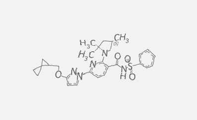 C[C@@H]1CN(c2nc(-n3ccc(OCC4CC45CC5)n3)ccc2C(=O)NS(=O)(=O)c2ccccc2)C(C)(C)C1